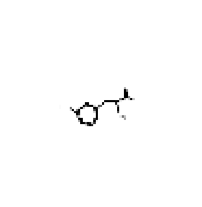 CNC(Cc1cccc(C)c1)C(=O)O